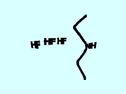 CCNCC.F.F.F